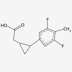 Cc1c(F)cc(C2CC2CC(=O)O)cc1F